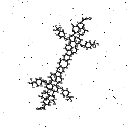 CC(C)c1cc(N=C=O)cc(C(C)C)c1N1C(=O)c2cc(Oc3ccc(C(C)(C)C)cc3)c3c4ccc5c6c(ccc(c7c(Oc8ccc(C(C)(C)C)cc8)cc(c2c37)C1=O)c64)-c1cc2c(cc1-5)/C=C\c1cc3c(cc1CC2)-c1ccc2c4c(Oc5ccc(C(C)(C)C)cc5)cc5c6c(cc(Oc7ccc(C(C)(C)C)cc7)c(c7ccc-3c1c72)c64)C(=O)N(c1c(C(C)C)cc(N=C=O)cc1C(C)C)C5=O